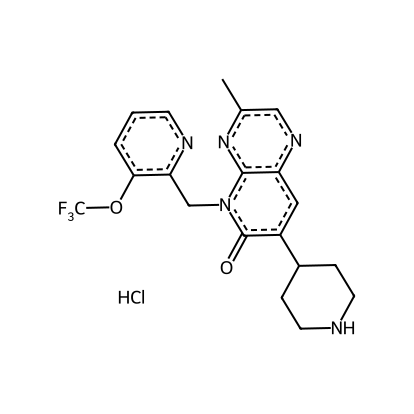 Cc1cnc2cc(C3CCNCC3)c(=O)n(Cc3ncccc3OC(F)(F)F)c2n1.Cl